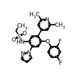 CCS(=O)(=O)Nc1cc(-c2cc(C)nc(C)c2)c(Oc2ccc(F)cc2F)cc1-n1cccn1